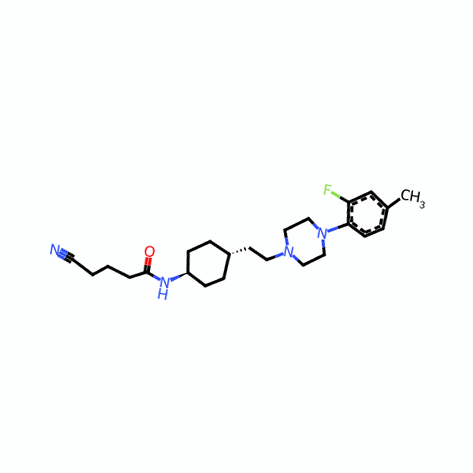 Cc1ccc(N2CCN(CC[C@H]3CC[C@H](NC(=O)CCCC#N)CC3)CC2)c(F)c1